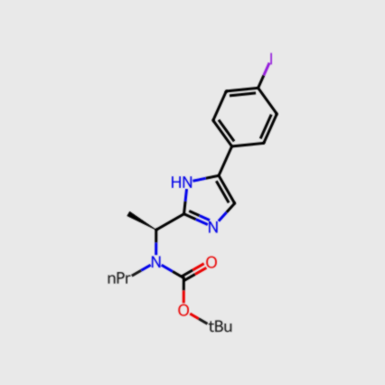 CCCN(C(=O)OC(C)(C)C)[C@@H](C)c1ncc(-c2ccc(I)cc2)[nH]1